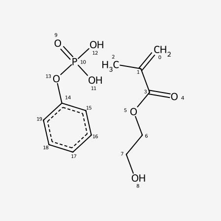 C=C(C)C(=O)OCCO.O=P(O)(O)Oc1ccccc1